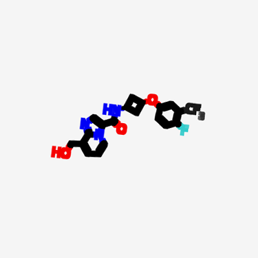 O=C(N[C@H]1C[C@H](Oc2ccc(F)c(C(F)(F)F)c2)C1)c1cnc2c(CO)cccn12